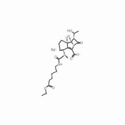 CCOC(=O)CCCCCNC(=O)N(C)[C@H]1CCC[C@H]2C1=C(C(=O)[O-])N1C(=O)[C@H](C(C)O)[C@@H]21.[Na+]